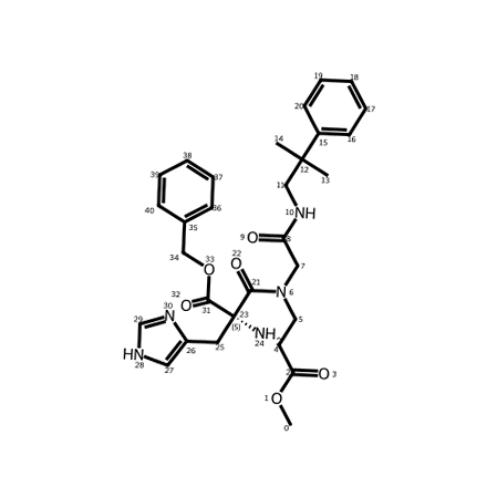 COC(=O)CCN(CC(=O)NCC(C)(C)c1ccccc1)C(=O)[C@@](N)(Cc1c[nH]cn1)C(=O)OCc1ccccc1